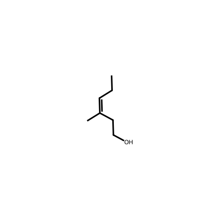 CCC=C(C)CCO